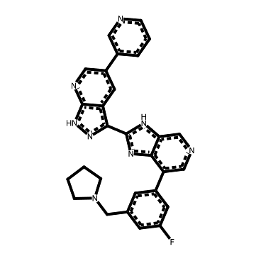 Fc1cc(CN2CCCC2)cc(-c2cncc3[nH]c(-c4n[nH]c5ncc(-c6cccnc6)cc45)nc23)c1